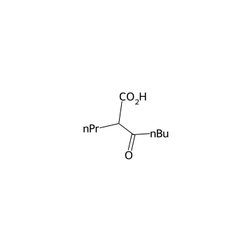 CCCCC(=O)C(CCC)C(=O)O